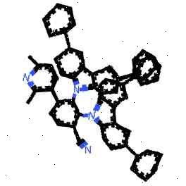 Cc1ccc(-c2ccc(C#N)c(-n3c4ccc(-c5ccccc5)cc4c4cc(-c5ccccc5)ccc43)c2-n2c3ccc(-c4ccccc4)cc3c3cc(-c4ccccc4)ccc32)c(C)n1